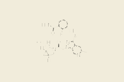 CC(=O)c1nn(CC(=O)N2C[C@@H]3C[C@@H]3[C@H]2C(=O)O)c2cnc(C)cc12.NC(=O)c1cccc(Cl)c1F